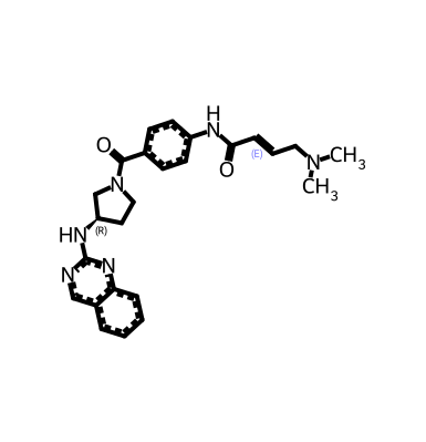 CN(C)C/C=C/C(=O)Nc1ccc(C(=O)N2CC[C@@H](Nc3ncc4ccccc4n3)C2)cc1